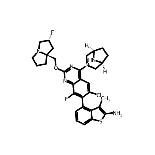 Cc1c(N)sc2cccc(-c3c(Cl)cc4c(N5C[C@H]6CC[C@@H](C5)N6)nc(OC[C@@]56CCCN5C[C@H](F)C6)nc4c3F)c12